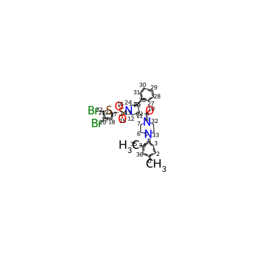 Cc1ccc(N2CCN(C(=O)[C@@H]3CN(S(=O)(=O)c4cc(Br)c(Br)s4)C[C@H]3c3ccccc3)CC2)c(C)c1